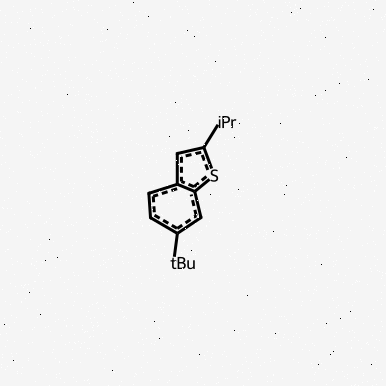 CC(C)c1cc2ccc(C(C)(C)C)cc2s1